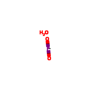 O.O=[P]=O